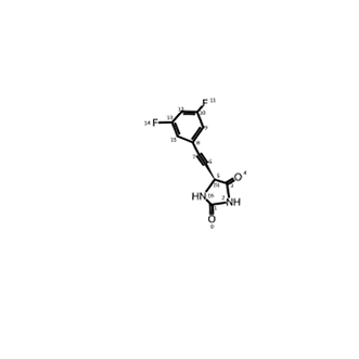 O=C1NC(=O)[C@H](C#Cc2cc(F)cc(F)c2)N1